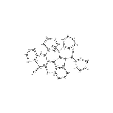 O=C(C1=C(C(=O)c2ccccc2)c2c(C(=O)c3ccccc3)c(C(=O)c3ccccc3)cc3cccc1c23)c1ccccc1